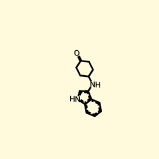 O=C1CCC(Nc2c[nH]c3ccccc23)CC1